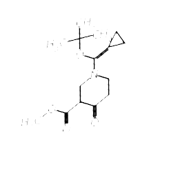 COC(=O)C1CN(C(OC(C)(C)C)=C2CC2)CCC1=O